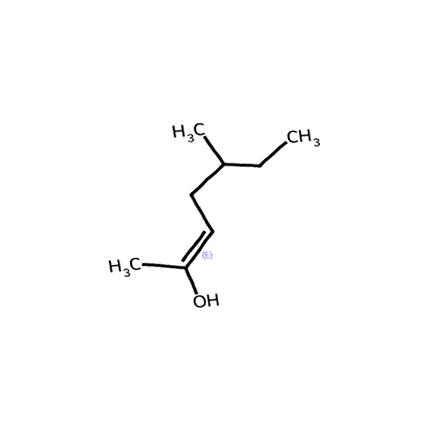 CCC(C)C/C=C(\C)O